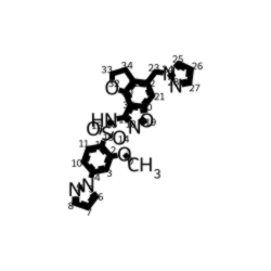 COc1cc(-n2cccn2)ccc1S(=O)(=O)Nc1noc2cc(Cn3cccn3)c3c(c12)OCC3